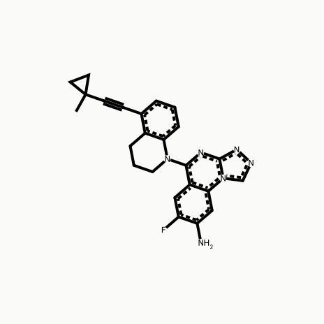 CC1(C#Cc2cccc3c2CCCN3c2nc3nncn3c3cc(N)c(F)cc23)CC1